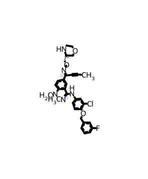 C=Nc1ccc(/C(C#CC)=N/OC[C@H]2COCCN2)cc1/C(=N\C)Nc1ccc(OCc2cccc(F)c2)c(Cl)c1